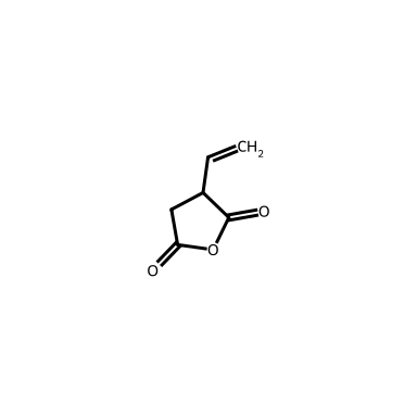 C=CC1CC(=O)OC1=O